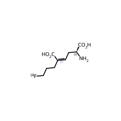 N[C@@H](C/C=C(/CCC[18F])C(=O)O)C(=O)O